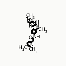 CCn1cc2ncc(N[C@@H](C)c3cccc(NC(=O)Cc4ccc(C)c(C)n4)c3)nc2n1